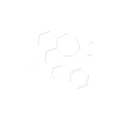 C[C@@H](C(O)Oc1ccccc1)C1CCCC2CC[C@@](C)(O)OCC21